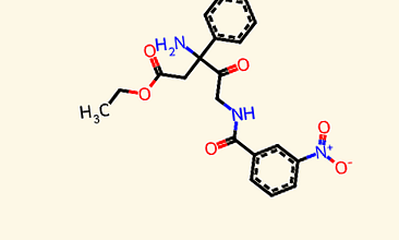 CCOC(=O)CC(N)(C(=O)CNC(=O)c1cccc([N+](=O)[O-])c1)c1ccccc1